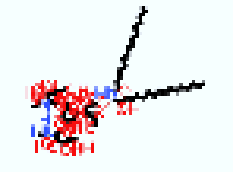 CCCCCCCCCCCCC/C=C/[C@@H](O)[C@H](CO[C@@H]1OC(CO)[C@@H](O[C@@H]2OC(CO)[C@H](O[C@@H]3OC(CO)[C@H](O)[C@H](O)C3NC(C)=O)[C@H](O[C@@H]3OC(CO)[C@@H](O)[C@H](O)C3NC(C)=O)C2O)[C@H](O)C1O)NC(=O)CCCCCCCCCCCCCCC